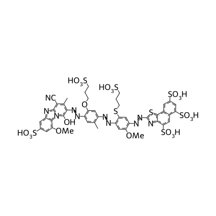 COc1cc(N=Nc2cc(OCCCS(=O)(=O)O)c(N=Nc3c(C)c(C#N)c4nc5cc(S(=O)(=O)O)cc(OC)c5n4c3O)cc2C)c(SCCCS(=O)(=O)O)cc1N=Nc1nc2c(S(=O)(=O)O)cc3c(S(=O)(=O)O)cc(S(=O)(=O)O)cc3c2s1